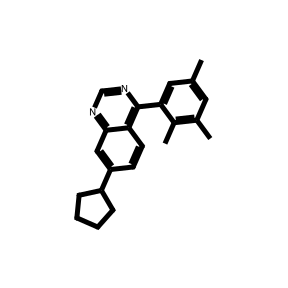 Cc1cc(C)c(C)c(-c2ncnc3cc(C4CCCC4)ccc23)c1